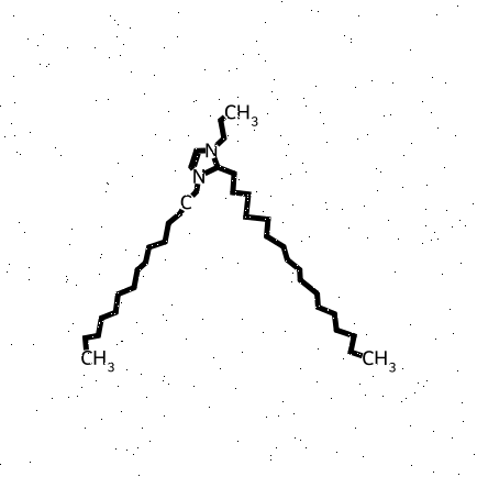 CCCCCCCCCCCCCCCCCC1N(CCC)C=CN1CCCCCCCCCCCCCCC